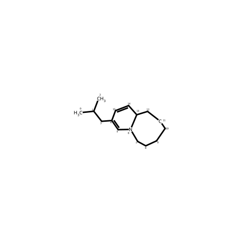 CC(C)CC1=CN2CCCCCCC2C=C1